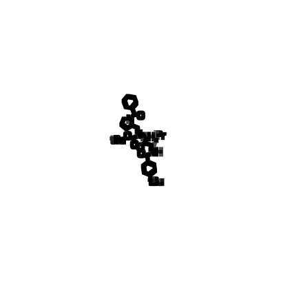 CC(C)C[C@H](NC(=O)c1ccc(C(C)(C)C)cc1)C(=O)NN(CC1C=CCN1C(=O)c1ccccc1)C(=O)OC(C)(C)C